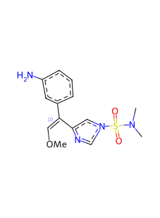 CO/C=C(/c1cccc(N)c1)c1cn(S(=O)(=O)N(C)C)cn1